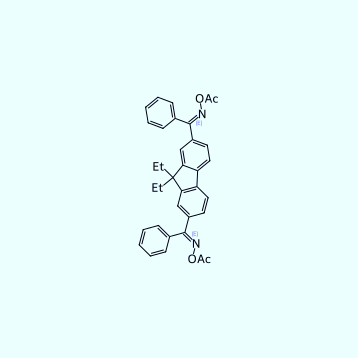 CCC1(CC)c2cc(/C(=N/OC(C)=O)c3ccccc3)ccc2-c2ccc(/C(=N/OC(C)=O)c3ccccc3)cc21